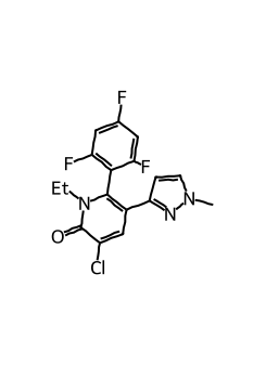 CCn1c(-c2c(F)cc(F)cc2F)c(-c2ccn(C)n2)cc(Cl)c1=O